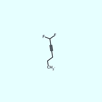 [CH2]CCC#CC(F)F